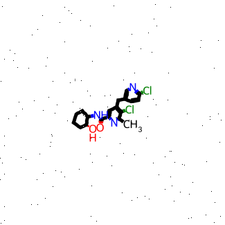 Cc1nc(C(=O)NC2CCCC[C@@H]2O)cc(Cc2ccc(Cl)nc2)c1Cl